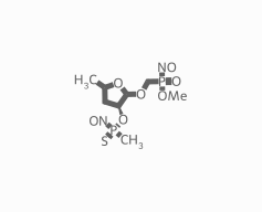 COP(=O)(COC1OC(C)C[C@@H]1OP(C)(=S)N=O)N=O